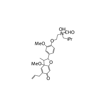 C=CCC1=CC2(OC)C(=CC1=O)OC(c1ccc(OCC[N+](O)(C=O)CC(C)C)c(OC)c1)C2C